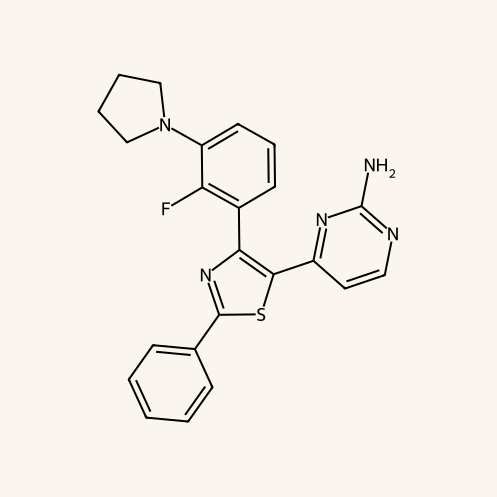 Nc1nccc(-c2sc(-c3ccccc3)nc2-c2cccc(N3CCCC3)c2F)n1